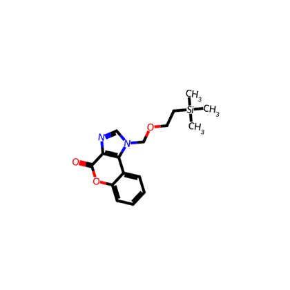 C[Si](C)(C)CCOCn1cnc2c(=O)oc3ccccc3c21